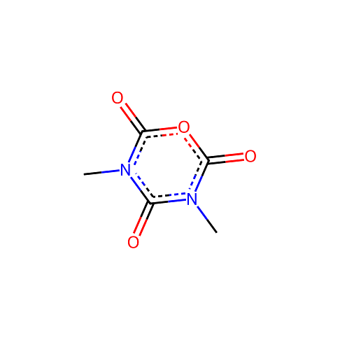 Cn1c(=O)oc(=O)n(C)c1=O